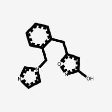 Oc1cc(Cc2ccccc2Cn2ccnc2)on1